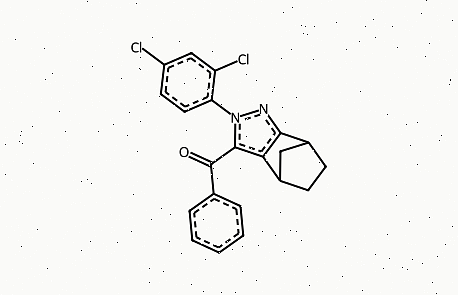 O=C(c1ccccc1)c1c2c(nn1-c1ccc(Cl)cc1Cl)C1CCC2C1